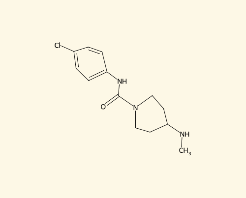 CNC1CCN(C(=O)Nc2ccc(Cl)cc2)CC1